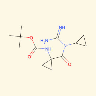 CC(C)(C)OC(=O)NC1(C(=O)N(C(=N)N)C2CC2)CC1